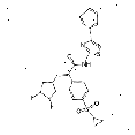 O=C(Nc1nc(-c2ccccc2)ns1)/C(=C/C1CC(F)C(F)C1)c1ccc(S(=O)(=O)C2CC2)cc1